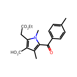 CCOC(=O)Cc1c(C(=O)O)c(C)c(C(=O)c2ccc(C)cc2)n1C